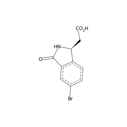 O=C(O)C[C@@H]1NC(=O)c2cc(Br)ccc21